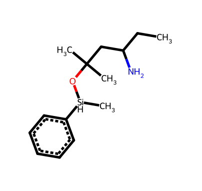 CCC(N)CC(C)(C)O[SiH](C)c1ccccc1